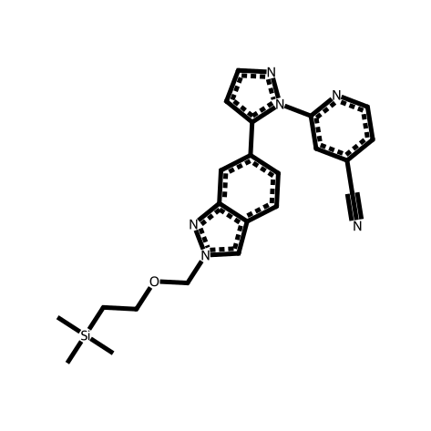 C[Si](C)(C)CCOCn1cc2ccc(-c3ccnn3-c3cc(C#N)ccn3)cc2n1